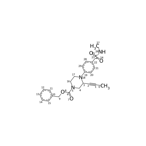 CC#CC1CN(C(=O)OCc2ccccc2)CCN1c1ccc(S(=O)(=O)NC)cc1